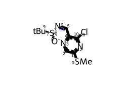 CSc1cnc(/C=N\[S@@+]([O-])C(C)(C)C)c(Cl)n1